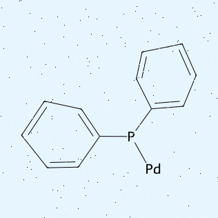 [Pd][P](c1ccccc1)c1ccccc1